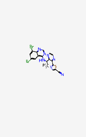 CC(Nc1ncnc2c(Br)cc(Br)cc12)c1nccnc1-c1ncc(C#N)s1